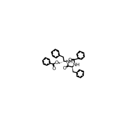 O=C(N[C@@H](Cc1ccccc1)C(=O)N[C@H](COC(=O)c1ccccc1)Cc1ccccc1)c1ccccc1